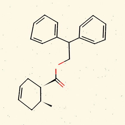 O=C(O)[C@H]1CC=CC[C@H]1C(=O)OCC(c1ccccc1)c1ccccc1